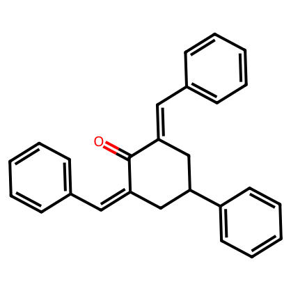 O=C1C(=Cc2ccccc2)CC(c2ccccc2)CC1=Cc1ccccc1